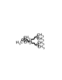 CO[Si](C)(C)CCN(CCCN(C)C)CCCN(C)C